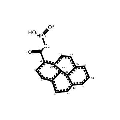 O=C(O[PH](=O)O)c1ccc2ccc3cccc4ccc1c2c34